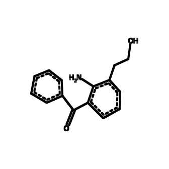 Nc1c(CCO)cccc1C(=O)c1ccccc1